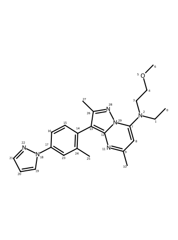 CCN(CCOC)c1cc(C)nc2c(-c3ccc(-n4cccn4)cc3C)c(C)nn12